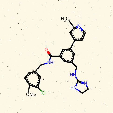 COc1ccc(CNC(=O)c2cc(CNC3=NCCN3)cc(-c3ccnc(C)c3)c2)cc1Cl